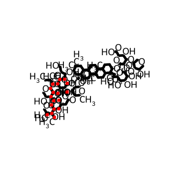 CC[C@H](C)[C@H](C[C@H](O)CC(=O)OC1C(C)OC(OC(=O)[C@]23CCC(C)(C)CC2C2=CCC4[C@@]5(C)CC[C@H](OC6OC(C(=O)O)C(O)C(OC7(O)COCC(O)C7O)C6OC6OC(CO)C(O)C(O)C6O)[C@@](C)(C=O)C5CC[C@@]4(C)[C@]2(C)C[C@H]3O)C(OC2OC(C)C(OC3OCC(O)C(OC4OCC(O)C(O)C4O)C3O)C(O)C2O)C1O)OC(=O)C[C@@H](O)C[C@H](OC1OC(CO)C(O)C1O)[C@@H](C)CC